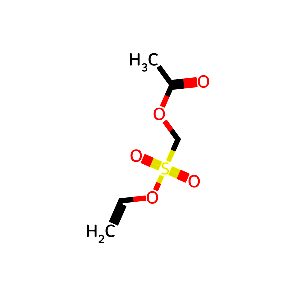 C=COS(=O)(=O)COC(C)=O